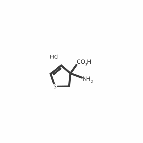 Cl.NC1(C(=O)O)C=CSC1